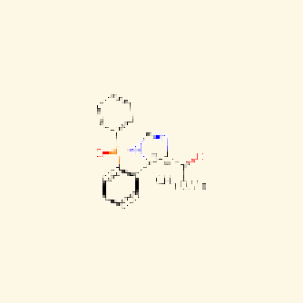 COC(=O)[C@H]1N=CN(P(=O)(c2ccccc2)c2ccccc2)[C@]1(C)c1ccccc1